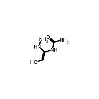 NN/C(=C\O)NC(N)=O